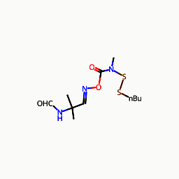 CCCCSSN(C)C(=O)ON=CC(C)(C)NC=O